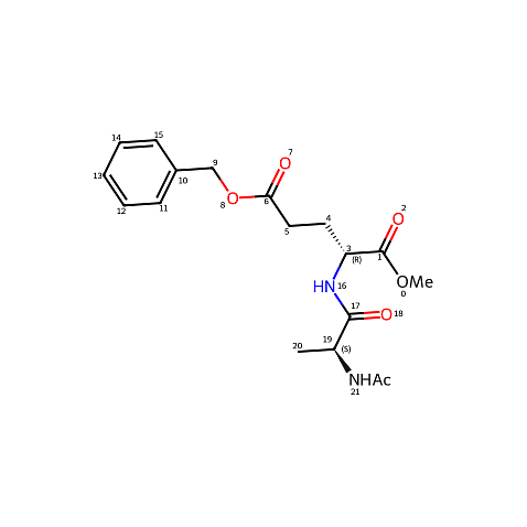 COC(=O)[C@@H](CCC(=O)OCc1ccccc1)NC(=O)[C@H](C)NC(C)=O